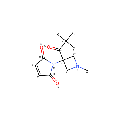 CN1CC(C(=O)C(C)(C)C)(N2C(=O)C=CC2=O)C1